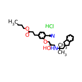 CCCCOC(=O)CCc1ccc(C#N)c(OC[C@H](O)CNC(C)(C)CC2Cc3ccccc3C2)c1.Cl